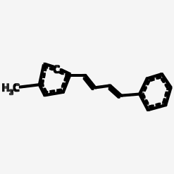 Cc1ccc(/C=C/C=C/c2ccccc2)cc1